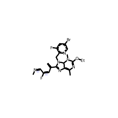 C=C(/C=C(F)\C=N/C)C1=NC2=C(C)N=C(OCC)N(C)C2N1Cc1ncc(Br)cc1F